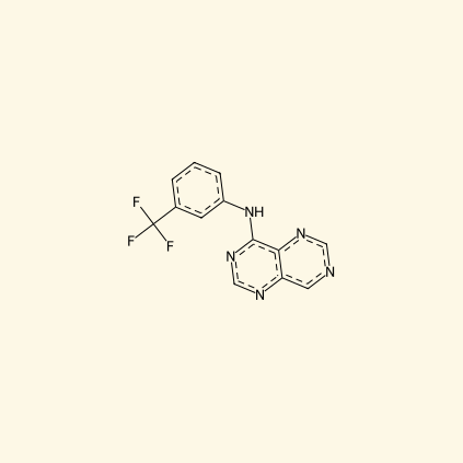 FC(F)(F)c1cccc(Nc2ncnc3cncnc23)c1